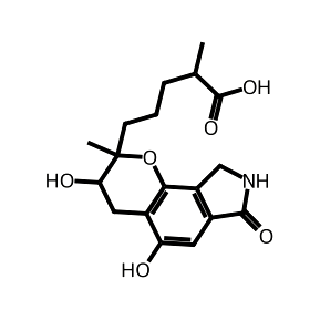 CC(CCCC1(C)Oc2c(c(O)cc3c2CNC3=O)CC1O)C(=O)O